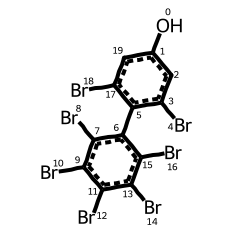 Oc1cc(Br)c(-c2c(Br)c(Br)c(Br)c(Br)c2Br)c(Br)c1